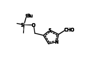 CC(C)(C)[Si](C)(C)OCc1cnc(C=O)s1